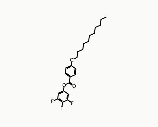 CCCCCCCCCCCOc1ccc(C(=O)Oc2cc(F)c(F)c(F)c2)cc1